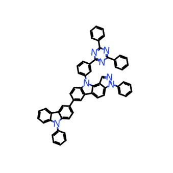 c1ccc(-c2nc(-c3ccccc3)nc(-c3cccc(-n4c5ccc(-c6ccc7c(c6)c6ccccc6n7-c6ccccc6)cc5c5ccc6c(cnn6-c6ccccc6)c54)c3)n2)cc1